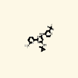 CC1(Nc2cc(Nc3ccnc(C(F)(F)F)c3)nc(-c3cccc(N)n3)n2)CC1